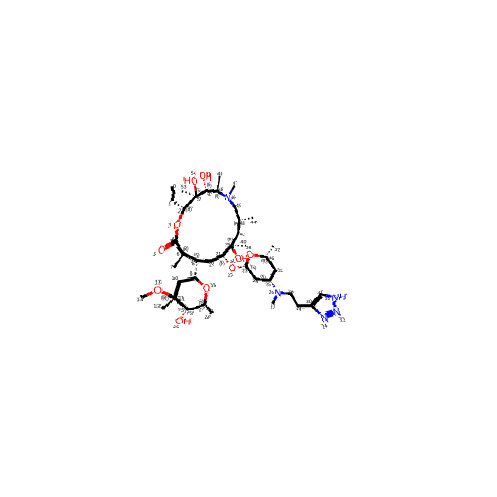 CC[C@H]1OC(=O)[C@H](C)[C@@H](C2C[C@@](C)(OC)[C@@H](O)[C@H](C)O2)C[C@@H](O[C@H]2C[C@@H](N(C)CCc3c[nH]nn3)C[C@@H](C)O2)[C@](C)(O)C[C@@H](C)CN(C)[C@H](C)[C@@H](O)[C@]1(C)O